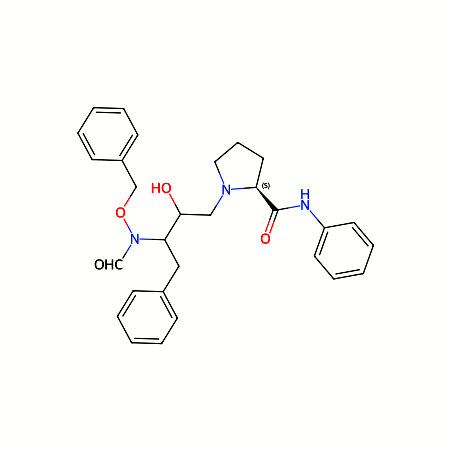 O=CN(OCc1ccccc1)C(Cc1ccccc1)C(O)CN1CCC[C@H]1C(=O)Nc1ccccc1